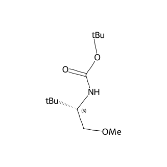 COC[C@@H](NC(=O)OC(C)(C)C)C(C)(C)C